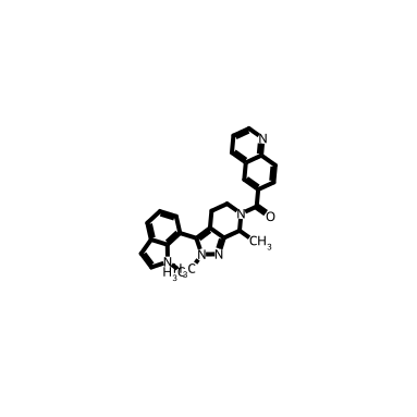 CC1c2nn(C)c(-c3cccc4ccn(C)c34)c2CCN1C(=O)c1ccc2ncccc2c1